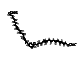 CCCCCCCCCCCCCCCCCCCCCCCCOc1c[c]cc(OCCCCCCCCCCCCCCCCCCCCCCCC)c1